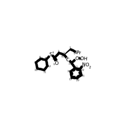 CC(C)C[C@H](CC(=O)SC1CCCCC1)CC(OO)c1ccccc1[N+](=O)[O-]